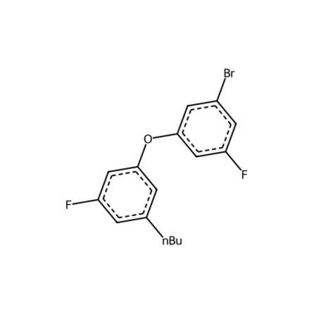 CCCCc1cc(F)cc(Oc2cc(F)cc(Br)c2)c1